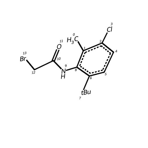 Cc1c(Cl)ccc(C(C)(C)C)c1NC(=O)CBr